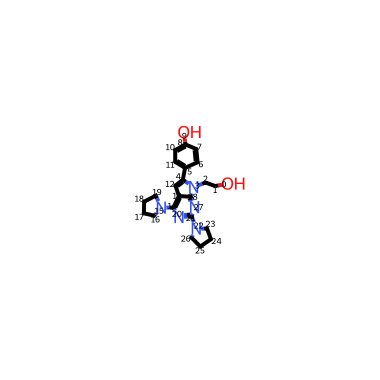 OCCn1c(-c2ccc(O)cc2)cc2c(N3CCCC3)nc(N3CCCC3)nc21